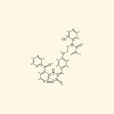 C=C(C)C(=O)N(CCOc1ccc(C[C@H](Nc2ccccc2C(=O)c2ccccc2)C(=O)OC)cc1)c1ccccc1Cl